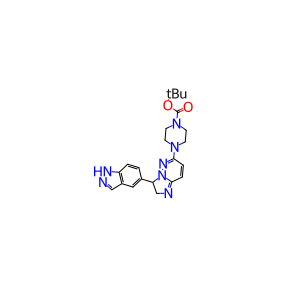 CC(C)(C)OC(=O)N1CCN(C2=NN3C(=NCC3c3ccc4[nH]ncc4c3)C=C2)CC1